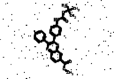 COC(=O)c1ccc2nc(-c3ccccc3)c(-c3ccc(NC(=O)OC(C)(C)C)cc3)nc2c1